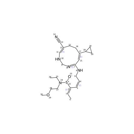 C/C=C(\C=C/CNC1=N/CN/C=C(/C#N)CC/C(C2CC2)=C\1)[S+]([O-])N(CC)CCOC